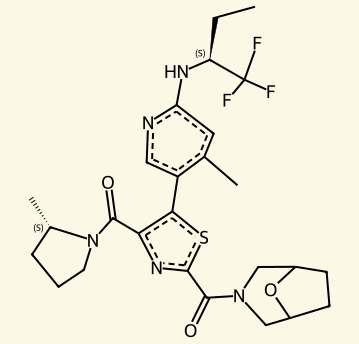 CC[C@H](Nc1cc(C)c(-c2sc(C(=O)N3CC4CCC(C3)O4)nc2C(=O)N2CCC[C@@H]2C)cn1)C(F)(F)F